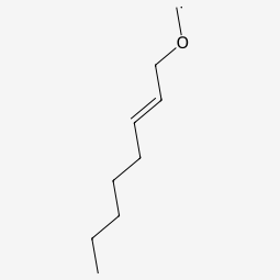 [CH2]OC/C=C/CCCCC